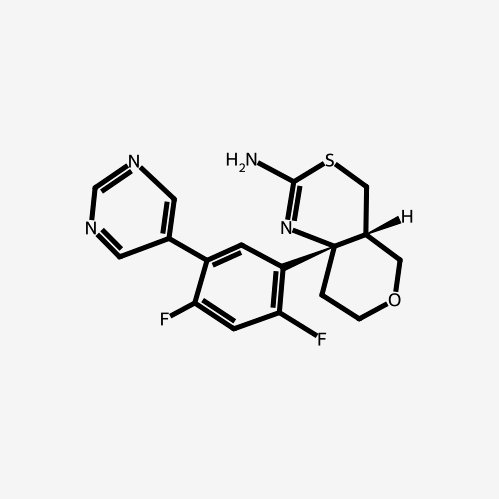 NC1=N[C@@]2(c3cc(-c4cncnc4)c(F)cc3F)CCOC[C@H]2CS1